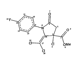 COC(=O)C1(Cl)CC(=O)N(c2ccc(F)cc2)C1=C(Cl)Cl